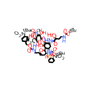 CN(C(=O)OC(C)(C)C)[C@@H]1[C@@H](O)[C@@H](O[C@@H]2[C@@H](O)[C@H](C3OC(CNC(=O)OCc4ccc([N+](=O)[O-])cc4)=CC[C@H]3NS(=O)(=O)c3ccccc3[N+](=O)[O-])[C@@H](NC(=O)OC(C)(C)C)C[C@H]2NC(=O)[C@@H](O)CCNC(=O)OC(C)(C)C)OC[C@]1(C)O